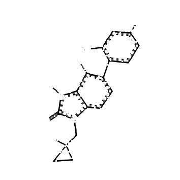 Cn1c(=O)n(CC2(C)CC2)c2ccc(-c3ccc(F)cc3C#N)c(F)c21